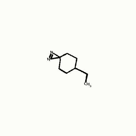 CCC1CCC2(CC1)N=N2